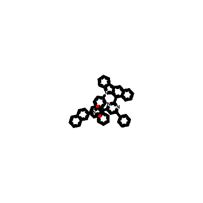 c1ccc(-c2cc(-c3ccccc3)nc(-c3c4ccccc4cc4c5ccccc5n(-c5ccc6c(c5)c5ccccc5n6-c5ccc6ccccc6c5)c34)n2)cc1